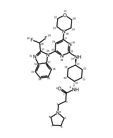 O=C(CCN1CCCC1)N[C@H]1CC[C@H](Nc2nc(N3CCOCC3)cc(-n3c(C(F)F)nc4ccccc43)n2)CC1